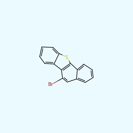 Brc1cc2ccccc2c2sc3ccccc3c12